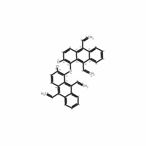 C=Cc1c2ccccc2c(C=C)c2c(Oc3c(Cl)ccc4c(C=C)c5ccccc5c(C=C)c34)c(Cl)ccc12